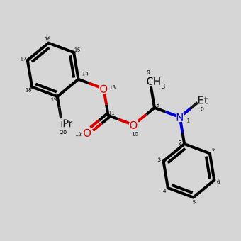 CCN(c1ccccc1)C(C)OC(=O)Oc1ccccc1C(C)C